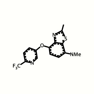 CNc1ccc(Oc2ccc(C(F)(F)F)nc2)c2nc(C)sc12